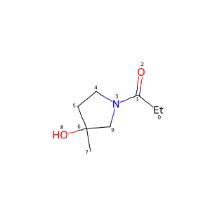 CCC(=O)N1CCC(C)(O)C1